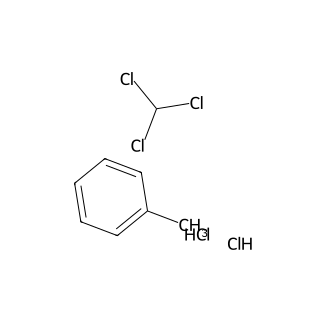 Cc1ccccc1.Cl.Cl.ClC(Cl)Cl